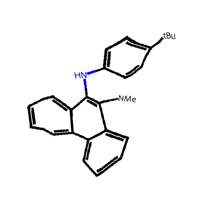 CNc1c(Nc2ccc(C(C)(C)C)cc2)c2ccccc2c2ccccc12